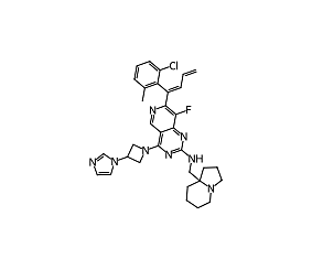 C=C/C=C(/c1ncc2c(N3CC(n4ccnc4)C3)nc(NCC34CCCCN3CCC4)nc2c1F)c1c(C)cccc1Cl